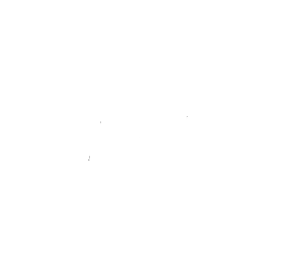 [CH2]C(C#N)(C1CSC1)C(F)(F)Cl